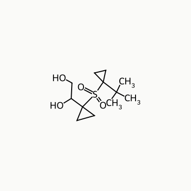 CC(C)(C)C1(S(=O)(=O)C2(C(O)CO)CC2)CC1